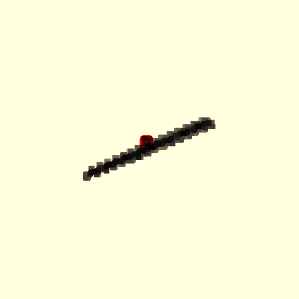 CCCCCCCCCCCCCCCC(=O)CCCCCCCCCCCCCCC